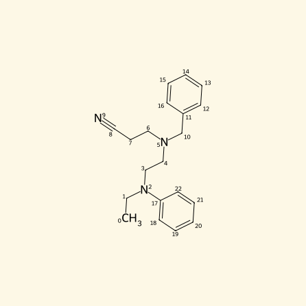 CCN(CCN(CCC#N)Cc1ccccc1)c1ccccc1